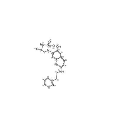 O=C1CN(c2cc3nc(NCCc4ccccn4)ccc3cc2O)S(=O)(=O)N1